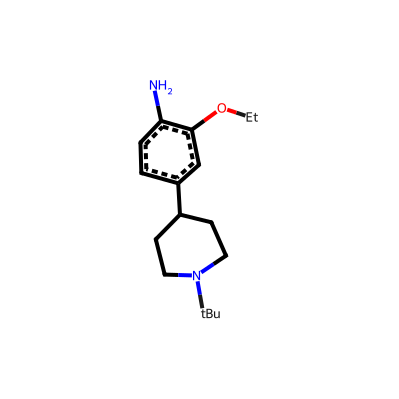 CCOc1cc(C2CCN(C(C)(C)C)CC2)ccc1N